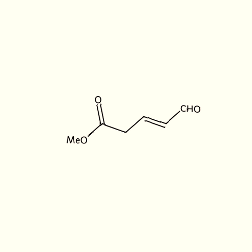 COC(=O)CC=CC=O